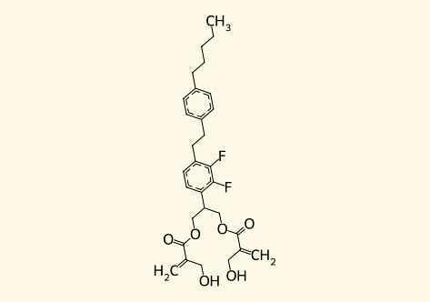 C=C(CO)C(=O)OCC(COC(=O)C(=C)CO)c1ccc(CCc2ccc(CCCCC)cc2)c(F)c1F